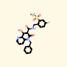 CS(=O)(=O)c1cc(F)ccc1CNC(=O)c1c(O)c2ncccc2n(Cc2ccccc2)c1=O